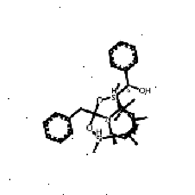 CC(C)C(C)(C)[SiH](C)OC(Cc1ccccc1)(O[SiH](C)C(C)(C)C(C)C)N1CC=CCC1C[C@H](O)c1ccccc1